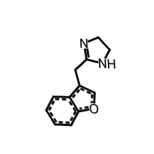 c1ccc2c(CC3=NCCN3)coc2c1